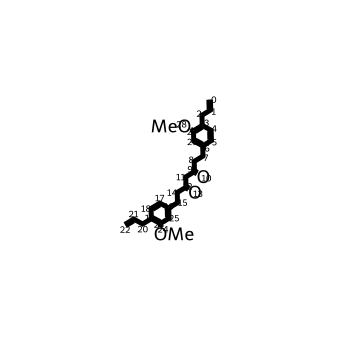 C=CCc1ccc(CCC(=O)CC(=O)CCc2ccc(CC=C)c(OC)c2)cc1OC